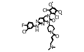 COc1cc(OC)c(Cl)c(N2Cc3cnc(Nc4ccc(F)c(Cl)c4)nc3N(C3CCN(C(=O)C=CCN(C)C)CC3)C2=O)c1Cl